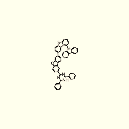 C1=Cc2c(c3ccccc3n2-c2cccc3sc4ccc(-c5ccc6c(c5)oc5ccc(C7=NC(c8ccccc8)NC(c8ccccc8)=N7)cc56)cc4c23)CC1